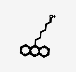 [CH]=CCCCCCc1c2ccccc2cc2ccccc12